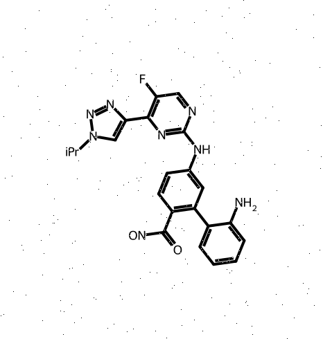 CC(C)n1cc(-c2nc(Nc3ccc(C(=O)N=O)c(-c4ccccc4N)c3)ncc2F)nn1